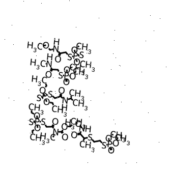 CCOC(=O)N(C)C(=O)CSP(=S)(OCC)OCC.CCOP(=S)(OCC)SCC(=O)NC(C)C.CNC(=O)C(C)SCCSP(=O)(OC)OC.CNC(=O)CSP(=O)(OC)OC.COCNC(=O)CSP(=S)(OC)OC